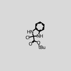 CC(C)(C)OC(=O)C1(Cl)Nc2ccccc2N1